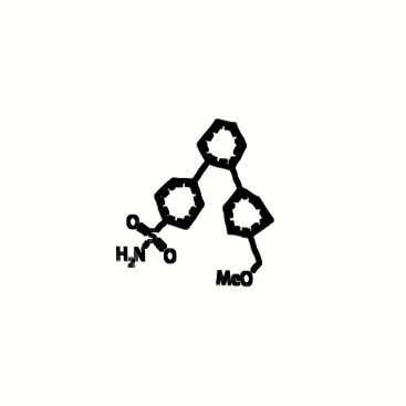 COCc1ccc(-c2ccccc2-c2ccc(S(N)(=O)=O)cc2)cc1